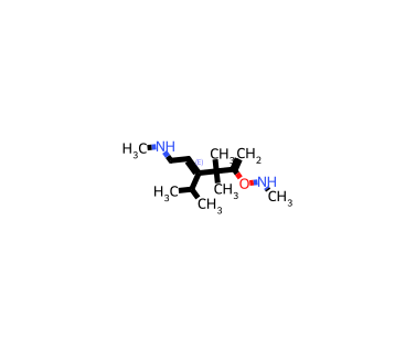 C=C(ONC)C(C)(C)/C(=C/CNC)C(C)C